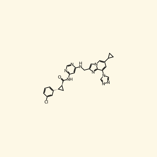 O=C(Nc1cc(NCc2cn3cc(C4CC4)cc(-n4cnnc4)c3n2)ncn1)[C@H]1C[C@@H]1c1cccc(Cl)c1